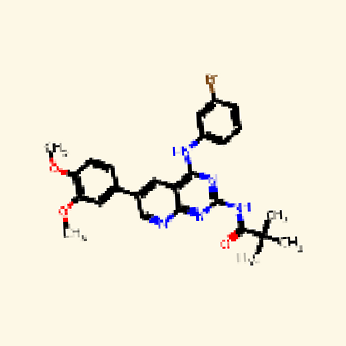 COc1ccc(-c2cnc3nc(NC(=O)C(C)(C)C)nc(Nc4cccc(Br)c4)c3c2)cc1OC